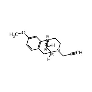 C#CCN1CC[C@]23COCO[C@H]2[C@H]1Cc1ccc(OC)cc13